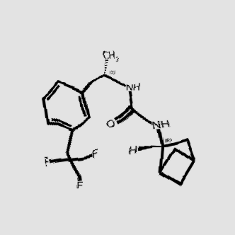 C[C@H](NC(=O)N[C@@H]1CC2CC1C2)c1cccc(C(F)(F)F)c1